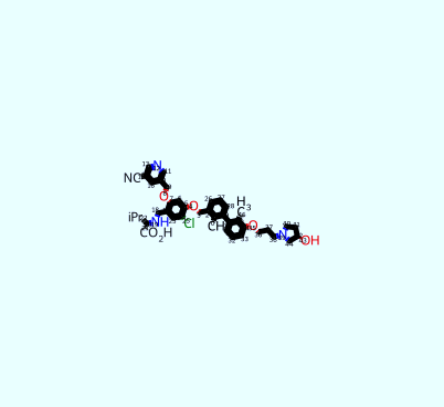 Cc1c(COc2cc(OCc3cncc(C#N)c3)c(CN[C@H](C(=O)O)C(C)C)cc2Cl)cccc1-c1cccc(OCCCN2CC[C@@H](O)C2)c1C